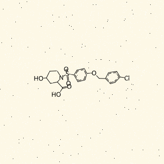 O=C(O)C1CC(O)CCN1S(=O)(=O)c1ccc(OCc2ccc(Cl)cc2)cc1